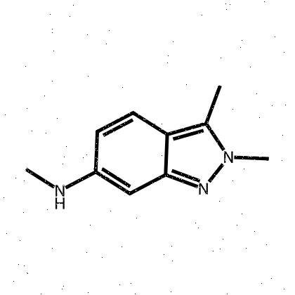 CNc1ccc2c(C)n(C)nc2c1